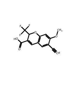 C#Cc1cc2c(cc1OC)OC(C(F)(F)F)C(C(=O)O)=C2